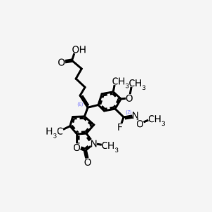 CO/N=C(\F)c1cc(/C(=C\CCCC(=O)O)c2cc(C)c3oc(=O)n(C)c3c2)cc(C)c1OC